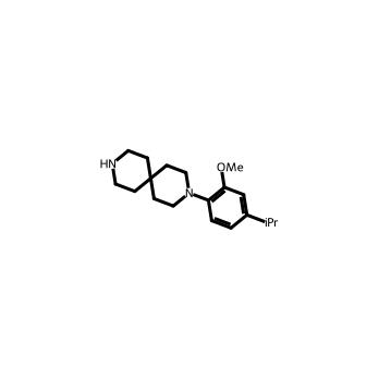 COc1cc(C(C)C)ccc1N1CCC2(CCNCC2)CC1